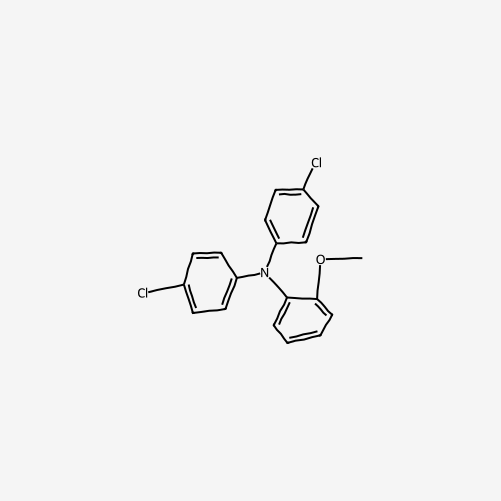 COc1ccccc1N(c1ccc(Cl)cc1)c1ccc(Cl)cc1